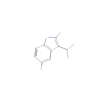 CC(C)c1c(Br)[nH]c2ccc(Cl)cc12